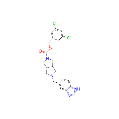 O=C(OCc1cc(Cl)cc(Cl)c1)N1CC2CN(Cc3ccc4[nH]cnc4c3)CC2C1